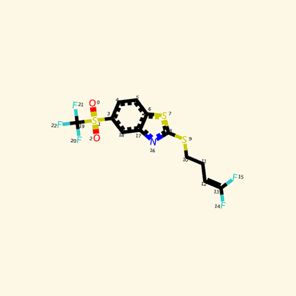 O=S(=O)(c1ccc2sc(SCCC=C(F)F)nc2c1)C(F)(F)F